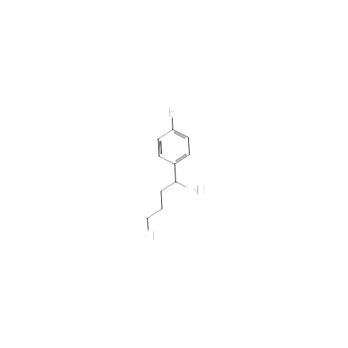 OC(CCCCl)c1ccc(Br)cc1